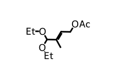 CCOC(OCC)C(C)=CCOC(C)=O